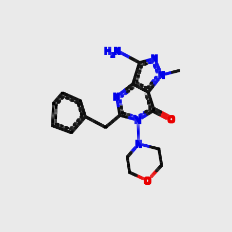 Cn1nc(N)c2nc(Cc3ccccc3)n(N3CCOCC3)c(=O)c21